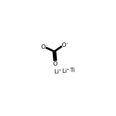 O=C([O-])[O-].[Li+].[Li+].[Ti]